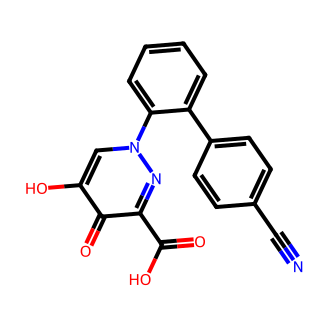 N#Cc1ccc(-c2ccccc2-n2cc(O)c(=O)c(C(=O)O)n2)cc1